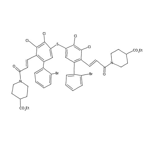 CCOC(=O)C1CCN(C(=O)/C=C/c2c(-c3ccccc3Br)cc(Sc3cc(-c4ccccc4Br)c(/C=C/C(=O)N4CCC(C(=O)OCC)CC4)c(Cl)c3Cl)c(Cl)c2Cl)CC1